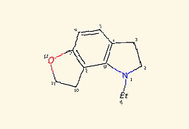 CCN1CCc2ccc3c(c21)CCO3